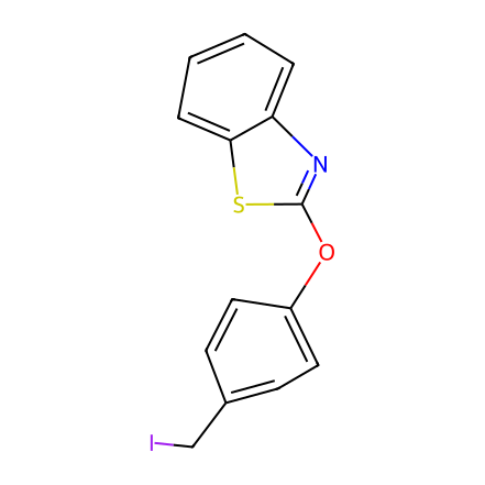 ICc1ccc(Oc2nc3ccccc3s2)cc1